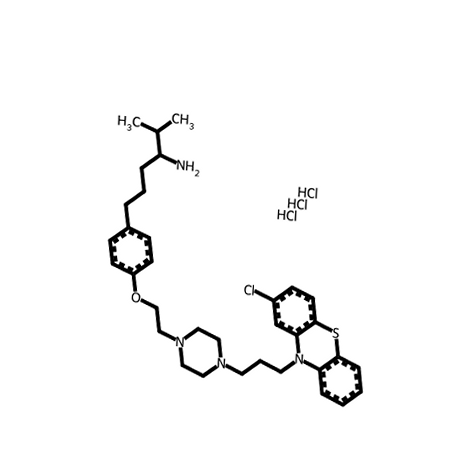 CC(C)C(N)CCCc1ccc(OCCN2CCN(CCCN3c4ccccc4Sc4ccc(Cl)cc43)CC2)cc1.Cl.Cl.Cl